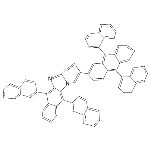 c1ccc2cc(-c3c4ccccc4c(-c4ccc5ccccc5c4)c4c3nc3ccc(-c5ccc6c(-c7cccc8ccccc78)c7ccccc7c(-c7cccc8ccccc78)c6c5)cn34)ccc2c1